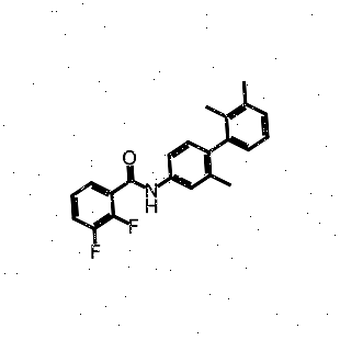 Cc1cc(NC(=O)c2cccc(F)c2F)ccc1-c1cccc(C)c1C